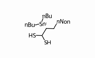 CCCCCCCCCCCC(S)S.CCC[CH2][Sn][CH2]CCC